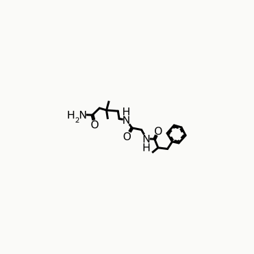 CC(Cc1ccccc1)C(=O)NCC(=O)NCCC(C)(C)CC(N)=O